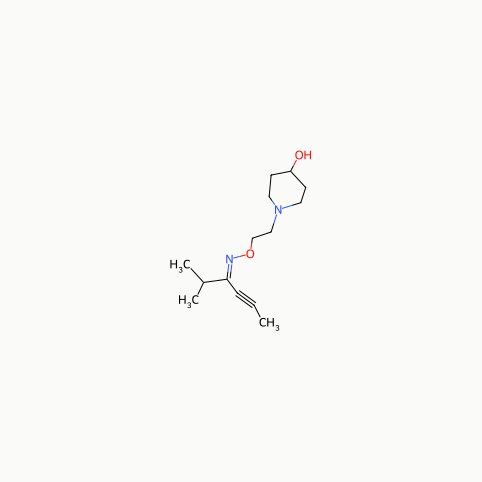 CC#C/C(=N\OCCN1CCC(O)CC1)C(C)C